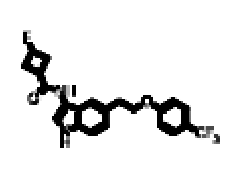 O=C(Nc1c[nH]c2ccc(CCOc3ccc(C(F)(F)F)cc3)cc12)C1CC(F)C1